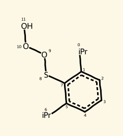 CC(C)c1cccc(C(C)C)c1SOOO